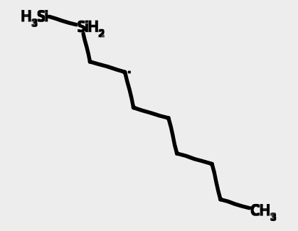 CCCCCC[CH]C[SiH2][SiH3]